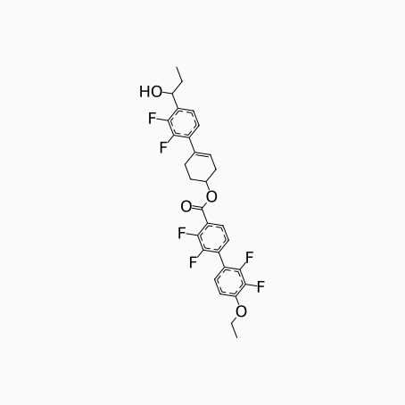 CCOc1ccc(-c2ccc(C(=O)OC3CC=C(c4ccc(C(O)CC)c(F)c4F)CC3)c(F)c2F)c(F)c1F